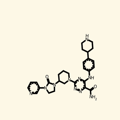 NC(=O)c1nnc(N2CCCC(N3CCN(c4cccnc4)C3=O)C2)nc1Nc1ccc(C2CCNCC2)cc1